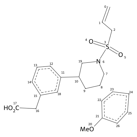 C=CCS(=O)(=O)N1CCCC(c2cccc(CC(=O)O)c2)C1.COc1ccccc1